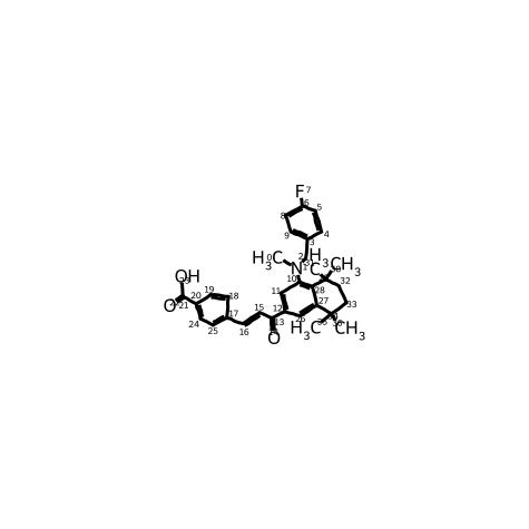 CN(Cc1ccc(F)cc1)c1cc(C(=O)C=Cc2ccc(C(=O)O)cc2)cc2c1C(C)(C)CCC2(C)C